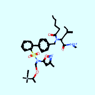 CCCCC(=O)N(Cc1ccc(-c2ccccc2S(=O)(=O)N(COC(C)[Si](C)(C)C)c2cc(C)no2)cc1)C(C(=O)NC)C(C)C